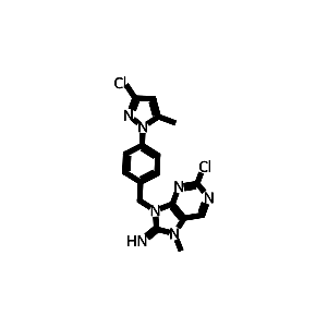 Cc1cc(Cl)nn1-c1ccc(Cn2c(=N)n(C)c3cnc(Cl)nc32)cc1